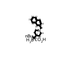 BC(CCCC)(C(=O)O)C1CCN(Cc2ccc3ccccc3c2)CC1